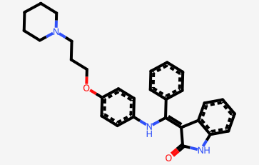 O=C1Nc2ccccc2/C1=C(/Nc1ccc(OCCCN2CCCCC2)cc1)c1ccccc1